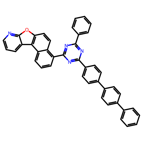 c1ccc(-c2ccc(-c3ccc(-c4nc(-c5ccccc5)nc(-c5cccc6c5ccc5oc7ncccc7c56)n4)cc3)cc2)cc1